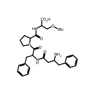 CC(C)(C)OCC(NC(=O)C1CCCN1C(=O)C(Cc1ccccc1)NC(=O)CC(N)Cc1ccccc1)C(=O)O